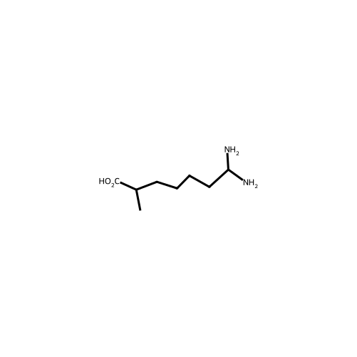 CC(CCCCC(N)N)C(=O)O